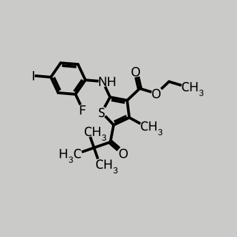 CCOC(=O)c1c(Nc2ccc(I)cc2F)sc(C(=O)C(C)(C)C)c1C